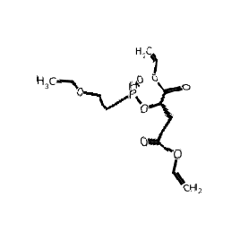 C=COC(=O)CC(O[PH](=O)CCOCC)C(=O)OC=C